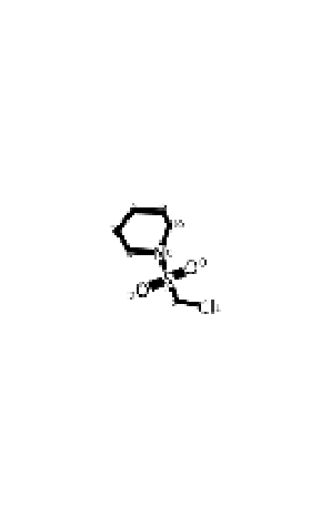 O=S(=O)(CCl)N1CCCCC1